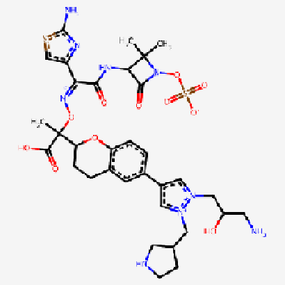 CC(O/N=C(\C(=O)NC1C(=O)N(OS(=O)(=O)[O-])C1(C)C)c1csc(N)n1)(C(=O)O)C1CCc2cc(-c3cn(CC(O)CN)[n+](CC4CCNC4)c3)ccc2O1